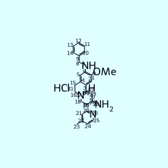 COc1cc2c(cc1NCc1ccccc1)CCN1C[C@@H](c3cc(C)ccn3)[C@H](N)C[C@H]21.Cl